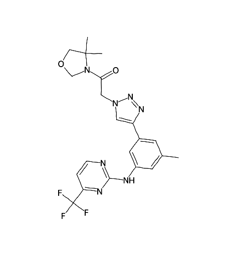 Cc1cc(Nc2nccc(C(F)(F)F)n2)cc(-c2cn(CC(=O)N3COCC3(C)C)nn2)c1